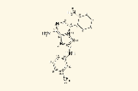 Nc1ncc(C2CCCCC2N)n2nc(Nc3cccc(C(F)(F)F)c3)nc12